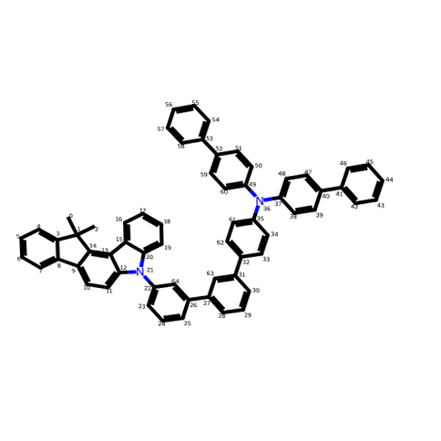 CC1(C)c2ccccc2-c2ccc3c(c21)c1ccccc1n3-c1cccc(-c2cccc(-c3ccc(N(c4ccc(-c5ccccc5)cc4)c4ccc(-c5ccccc5)cc4)cc3)c2)c1